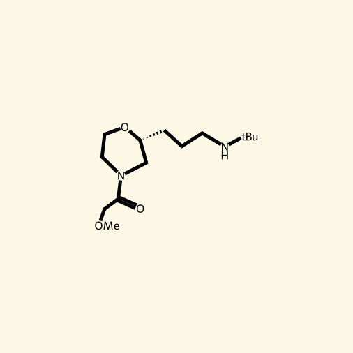 COCC(=O)N1CCO[C@H](CCCNC(C)(C)C)C1